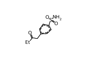 CCC(=O)Cc1ccc(S(N)(=O)=O)cc1